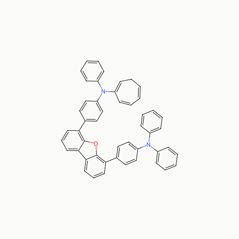 C1=CCC=C(N(c2ccccc2)c2ccc(-c3cccc4c3oc3c(-c5ccc(N(c6ccccc6)c6ccccc6)cc5)cccc34)cc2)C=C1